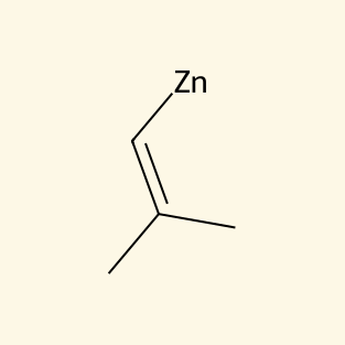 CC(C)=[CH][Zn]